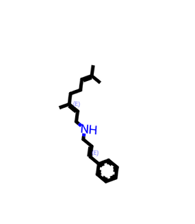 CC(C)=CCC/C(C)=C/CNC/C=C/c1ccccc1